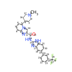 CN1CC=C(c2cccc3nc(C(=O)Nc4nc5cc(-c6cccc(C(F)(F)F)c6)ccc5[nH]4)cn23)CC1